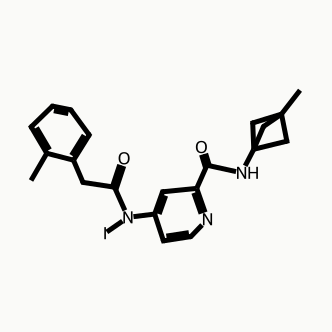 Cc1ccccc1CC(=O)N(I)c1ccnc(C(=O)NC23CC(C)(C2)C3)c1